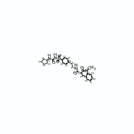 Cn1c(=O)c(C(=O)NCCc2ccc(S(=O)(=O)NC(=O)NC3CCCC3)cc2)cc2ccccc21